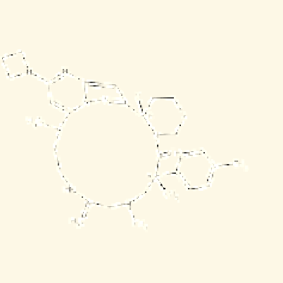 C=C1CN(C)C[C@@](C)(c2ccc(C)cc2)C(=C)N2CCCC[C@H]2c2cc3nc(N4CCC4)cc(n3n2)N(C)CCN1